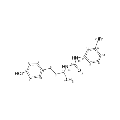 CC(CCc1ccc(O)cc1)NC(=O)Nc1cccc(C(C)C)c1